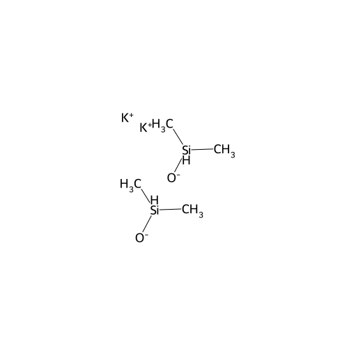 C[SiH](C)[O-].C[SiH](C)[O-].[K+].[K+]